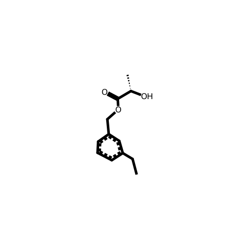 CCc1cccc(COC(=O)[C@H](C)O)c1